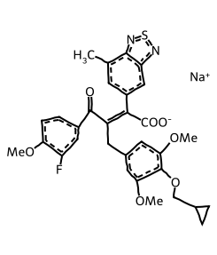 COc1ccc(C(=O)/C(Cc2cc(OC)c(OCC3CC3)c(OC)c2)=C(/C(=O)[O-])c2cc(C)c3nsnc3c2)cc1F.[Na+]